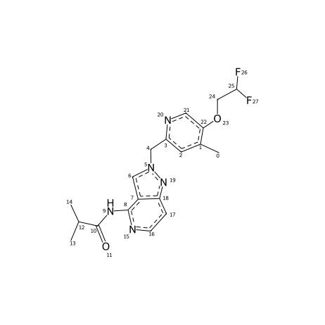 Cc1cc(Cn2cc3c(NC(=O)C(C)C)nccc3n2)ncc1OCC(F)F